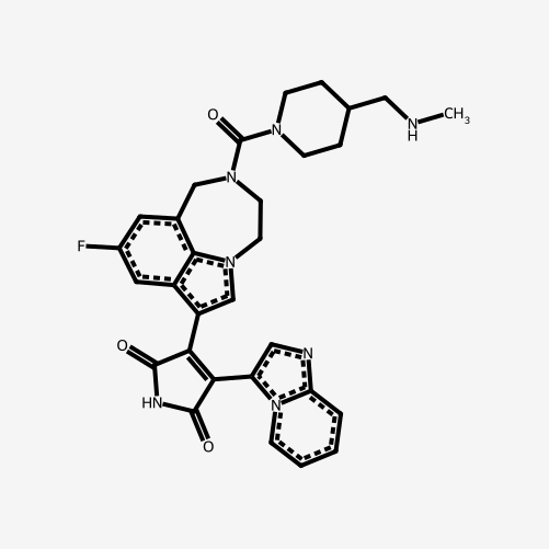 CNCC1CCN(C(=O)N2CCn3cc(C4=C(c5cnc6ccccn56)C(=O)NC4=O)c4cc(F)cc(c43)C2)CC1